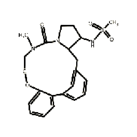 CN1CCOc2ccccc2-c2cccc(c2)CC2C(NS(C)(=O)=O)CCN2C1=O